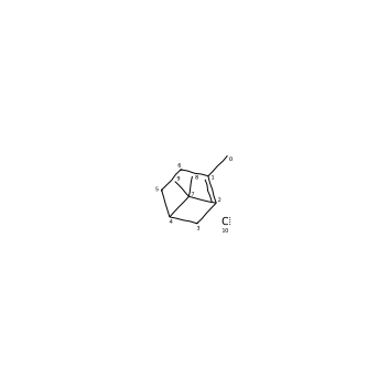 CC1=C2CC(CC1)C2(C)C.[C]